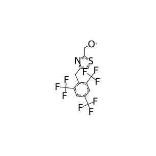 [O]Cc1nc(Cc2c(C(F)(F)F)cc(C(F)(F)F)cc2C(F)(F)F)cs1